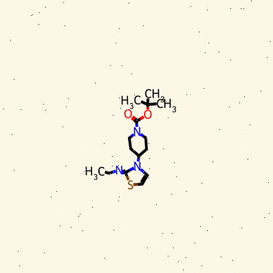 CC/N=c1\sccn1C1CCN(C(=O)OC(C)(C)C)CC1